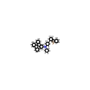 c1ccc(N(c2ccc(-c3cccc4c3sc3ccccc34)cc2)c2ccc3c(c2)-c2ccccc2C32c3ccccc3-c3ccccc32)cc1